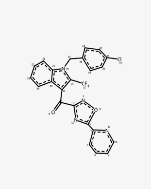 O=C(c1noc(-c2ccccn2)n1)c1c(C(F)(F)F)n(Cc2ccc(Cl)cc2)c2ccccc12